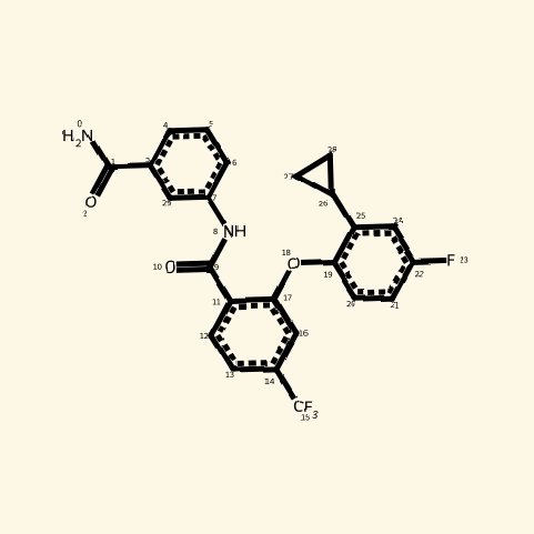 NC(=O)c1cccc(NC(=O)c2ccc(C(F)(F)F)cc2Oc2ccc(F)cc2C2CC2)c1